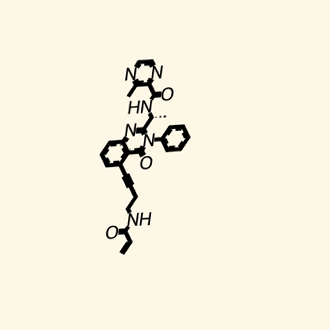 C=CC(=O)NCCC#Cc1cccc2nc([C@@H](C)NC(=O)c3nccnc3C)n(-c3ccccc3)c(=O)c12